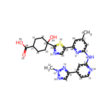 Cc1cc(Nc2cc(-c3cnn(C)n3)ccn2)nc(-c2cnc(C3(O)CCC(C(=O)O)CC3)s2)c1